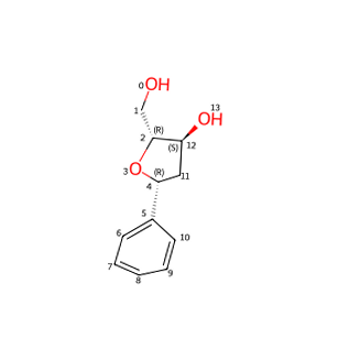 OC[C@H]1O[C@@H](c2ccccc2)C[C@@H]1O